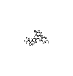 CCN(CC)C(O)c1ccc(C2=CC3(CCCNCC3)Oc3ccc(F)cc32)nc1